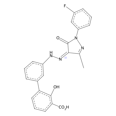 CC1=NN(c2cccc(F)c2)C(=O)/C1=N\Nc1cccc(-c2cccc(C(=O)O)c2O)c1